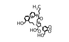 CCCCN(C(=O)CN1C[C@H](c2cc(CO)c3c(c2)OCO3)[C@@H](C(=O)O)[C@@H]1CCCc1ccccc1CO)c1cccnc1